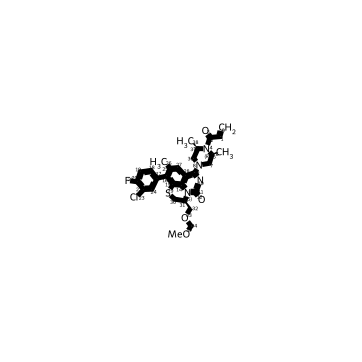 C=CC(=O)N1[C@H](C)CN(c2nc(=O)n3c4c(c(-c5ccc(F)c(Cl)c5)c(C)cc24)SC[C@@H]3COCOC)C[C@@H]1C